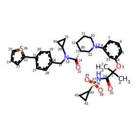 CC(C)(Oc1cccc(N2CCC[C@@H](C(=O)N(Cc3ccc(-c4cccs4)cc3)C3CC3)C2)c1)C(=O)NS(=O)(=O)C1CC1